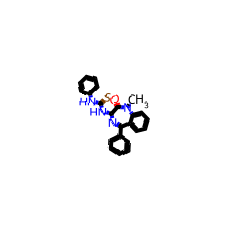 CN1C(=O)C(NC(=S)Nc2ccccc2)N=C(c2ccccc2)c2ccccc21